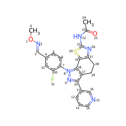 CON=Cc1ccc(-n2nc(-c3cccnc3)c3c2-c2sc(NC(C)=O)nc2CC3)c(F)c1